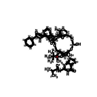 CC(C)C(=O)Nc1nc2c(ncn2[C@@H]2S[C@@H]3COP(=O)(OCCC#N)O[C@H]4[C@H]5OC[C@]4(COP(O)O[C@@H]2[C@@H]3O[Si](C)(C)C(C)(C)C)O[C@H]5n2cnc3c(NC(=O)c4ccccc4)ncnc32)c(=O)[nH]1